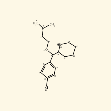 CN(C)CCOC(c1ccc(Cl)cc1)C1CCCCN1